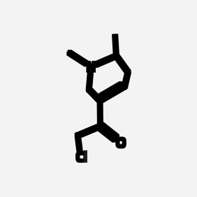 CC1CC=C(C(=O)CCl)CN1C